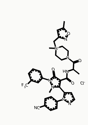 Cc1cc(C[N+]2(C)CCN(C(=O)C(C)NC(=O)c3c(-c4ccnn4-c4ccc(C#N)cc4)n(C)n(-c4cccc(C(F)(F)F)c4)c3=O)CC2)no1.[Cl-]